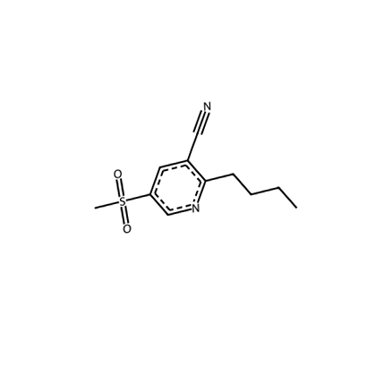 CCCCc1ncc(S(C)(=O)=O)cc1C#N